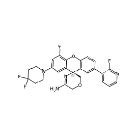 NC1=N[C@@]2(COC1)c1cc(-c3cccnc3F)ccc1Oc1c(F)cc(N3CCC(F)(F)CC3)cc12